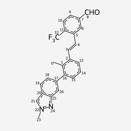 Cc1c(/C=C/c2cc(C=O)ccc2C(F)(F)F)cccc1-c1ccc2cn(C)nc2c1